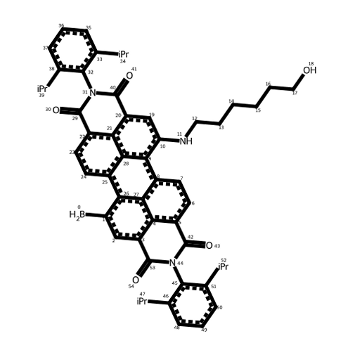 Bc1cc2c3c(ccc4c5c(NCCCCCCO)cc6c7c(ccc(c1c34)c75)C(=O)N(c1c(C(C)C)cccc1C(C)C)C6=O)C(=O)N(c1c(C(C)C)cccc1C(C)C)C2=O